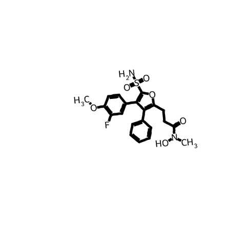 COc1ccc(-c2c(S(N)(=O)=O)oc(CCC(=O)N(C)O)c2-c2ccccc2)cc1F